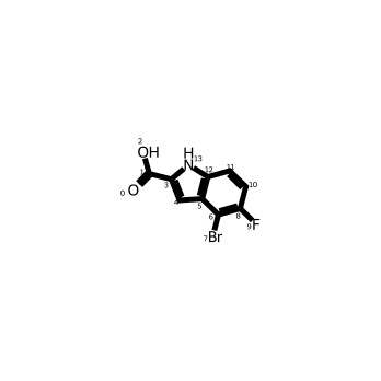 O=C(O)c1cc2c(Br)c(F)ccc2[nH]1